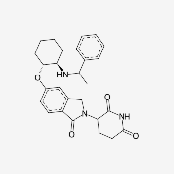 CC(N[C@@H]1CCCC[C@H]1Oc1ccc2c(c1)CN(C1CCC(=O)NC1=O)C2=O)c1ccccc1